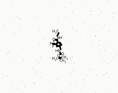 CCCNC(=O)c1ccc(CNC(=O)OC(C)(C)C)cc1C(F)(F)F